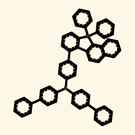 c1ccc(-c2ccc(N(c3ccc(-c4ccccc4)cc3)c3ccc(-c4cccc5c4-c4ccc6ccccc6c4[Si]5(c4ccccc4)c4ccccc4)cc3)cc2)cc1